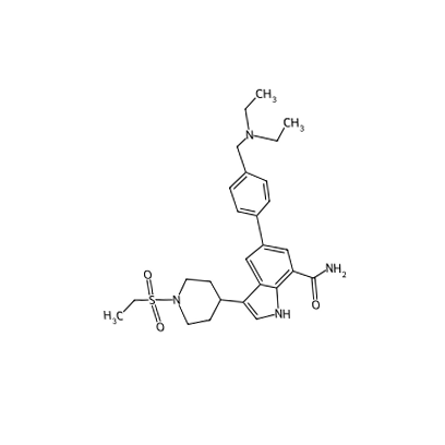 CCN(CC)Cc1ccc(-c2cc(C(N)=O)c3[nH]cc(C4CCN(S(=O)(=O)CC)CC4)c3c2)cc1